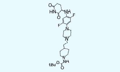 CC(C)(C)OC(=O)NN1CCC(CCN2CCN(c3cc(F)c(NC4CCC(=O)NC4=O)cc3F)CC2)CC1